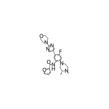 C[C@H]1CN(c2cc(F)c(-c3cnc(N4CCOCC4)nc3)cc2NC(=O)c2ccco2)CCN1C